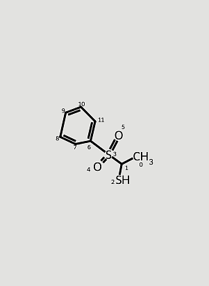 CC(S)S(=O)(=O)c1[c]cccc1